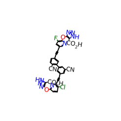 N#Cc1cc(C#Cc2nc(Oc3nn[nH]c3C(=O)O)ccc2Cl)cc(-c2cc(C#Cc3cnc(Oc4nn[nH]c4C(=O)O)c(F)c3)ccc2C#N)c1